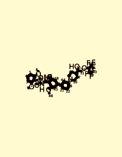 COc1cccc(OC)c1S(=O)(=O)Nc1noc2cc(-c3cccc(N4CCC(C(O)COC(C(F)(F)F)C(F)(F)F)CC4)c3)cc(OC)c12